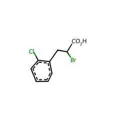 O=C(O)C(Br)Cc1ccccc1Cl